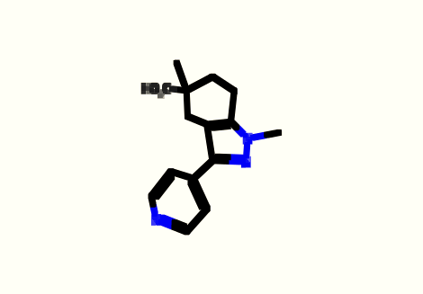 Cn1nc(-c2ccncc2)c2c1CCC(C)(C(=O)O)C2